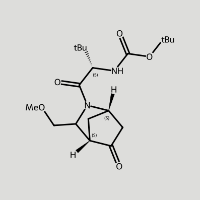 COCC1[C@@H]2C[C@@H](CC2=O)N1C(=O)[C@@H](NC(=O)OC(C)(C)C)C(C)(C)C